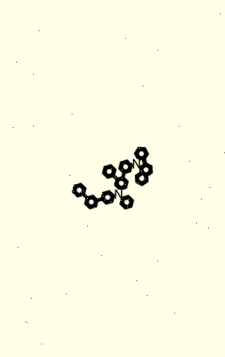 c1ccc(-c2cccc(-c3ccc(N(c4ccccc4)c4ccc(-c5cccc(-n6c7ccccc7c7ccc8ccccc8c76)c5)c(-c5ccccc5)c4)cc3)c2)cc1